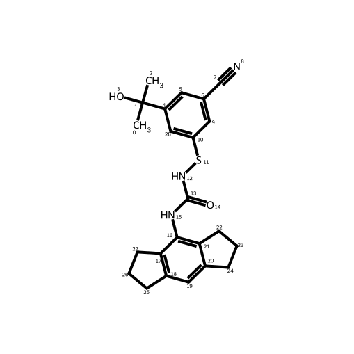 CC(C)(O)c1cc(C#N)cc(SNC(=O)Nc2c3c(cc4c2CCC4)CCC3)c1